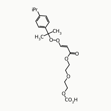 CC(C)c1ccc(C(C)(C)OOC=CC(=O)OCCOCCOC(=O)O)cc1